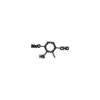 COc1ccc(C=O)c(C)c1S